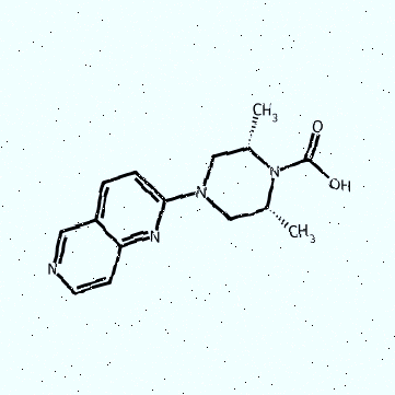 C[C@@H]1CN(c2ccc3cnccc3n2)C[C@H](C)N1C(=O)O